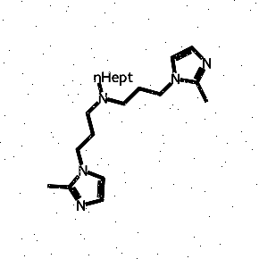 CCCCCCCN(CCCn1ccnc1C)CCCn1ccnc1C